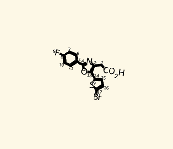 O=C(O)Cc1nc(-c2ccc(F)cc2)oc1-c1ccc(Br)s1